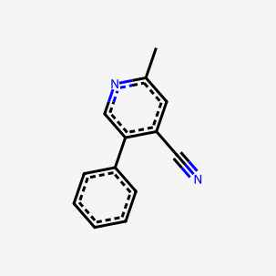 Cc1cc(C#N)c(-c2ccccc2)cn1